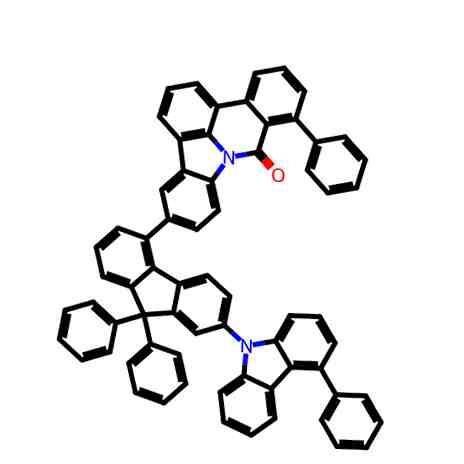 O=c1c2c(-c3ccccc3)cccc2c2cccc3c4cc(-c5cccc6c5-c5ccc(-n7c8ccccc8c8c(-c9ccccc9)cccc87)cc5C6(c5ccccc5)c5ccccc5)ccc4n1c23